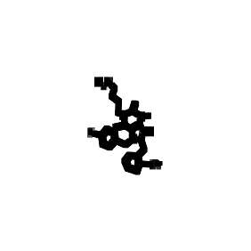 C=C1C2=C(NC(Cc3ccccc3C(C)C)N2Cc2ccc(F)cc2)N(C)C(=C)N1CCCCN